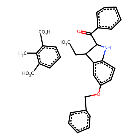 Cc1c(C(=O)O)cccc1C(=O)O.O=C(O)CC1c2cc(OCc3ccccc3)ccc2NC1C(=O)c1ccccc1